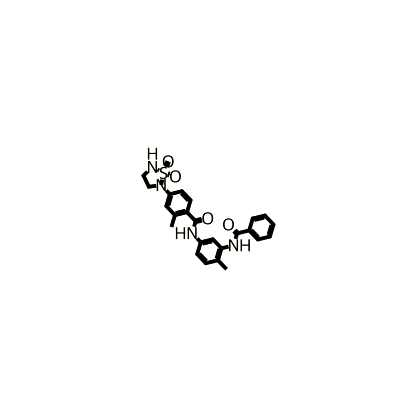 Cc1ccc(NC(=O)c2ccc(N3CCNS3(=O)=O)cc2C)cc1NC(=O)c1ccccc1